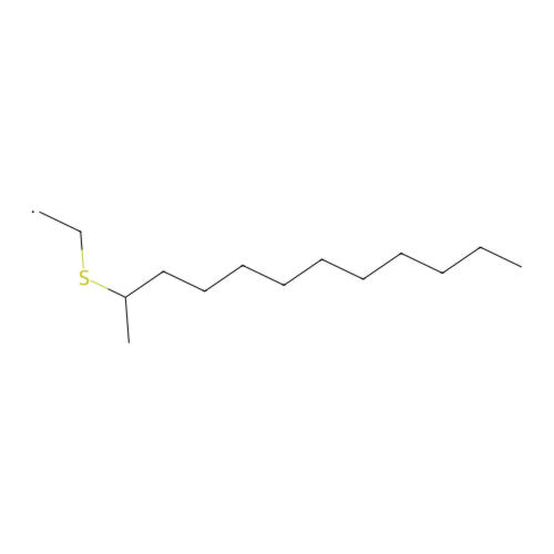 [CH2]CSC(C)CCCCCCCCCC